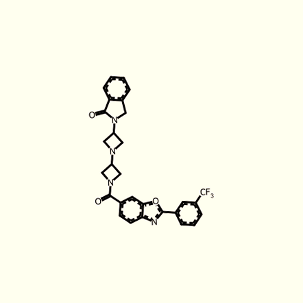 O=C(c1ccc2nc(-c3cccc(C(F)(F)F)c3)oc2c1)N1CC(N2CC(N3Cc4ccccc4C3=O)C2)C1